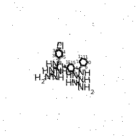 N=C(N)NC(=N)NC(c1ccccc1)c1ccc(Cl)cc1.N=C(N)NC(=N)NCc1ccc(Cl)cc1